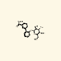 CNC(=O)c1cccc(-c2ccccc2O[C@@H]2OC(CO)[C@H](O)[C@H](O)C2O)c1